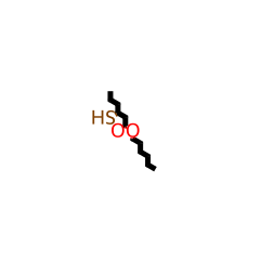 CCCCCCOC(=O)CC(S)CCC